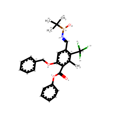 Cc1c(C(=O)Oc2ccccc2)c(OCc2ccccc2)cc(/C=N/[S+]([O-])C(C)(C)C)c1C(F)(F)F